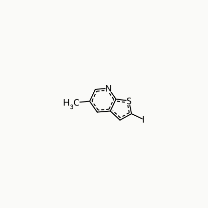 Cc1cnc2sc(I)cc2c1